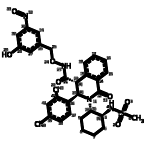 CS(=O)(=O)N[C@H]1CCCC[C@@H]1N1C(=O)c2ccccc2[C@@H](C(=O)NOCc2cc(O)cc(N=O)c2)[C@@H]1c1ccc(Cl)cc1Cl